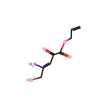 C=CCOC(=O)C(=O)/C=C(\N)CO